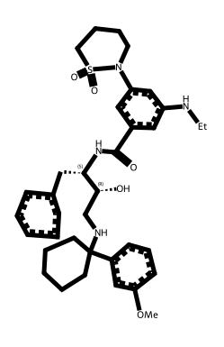 CCNc1cc(C(=O)N[C@@H](Cc2ccccc2)[C@H](O)CNC2(c3cccc(OC)c3)CCCCC2)cc(N2CCCCS2(=O)=O)c1